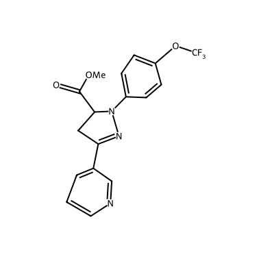 COC(=O)C1CC(c2cccnc2)=NN1c1ccc(OC(F)(F)F)cc1